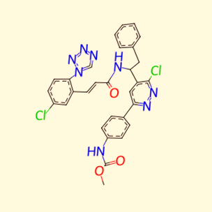 COC(=O)Nc1ccc(-c2cc(C(Cc3ccccc3)NC(=O)C=Cc3cc(Cl)ccc3-n3cnnn3)c(Cl)nn2)cc1